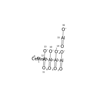 [Ce+3].[Mn+2].[O]=[Al][O-].[O]=[Al][O-].[O]=[Al][O-].[O]=[Al][O-].[O]=[Al][O-]